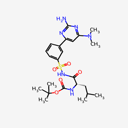 CC(C)C[C@H](NC(=O)OC(C)(C)C)C(=O)NS(=O)(=O)c1cccc(-c2cc(N(C)C)nc(N)n2)c1